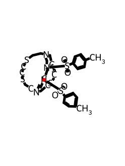 Cc1ccc(S(=O)(=O)N2CCN3CCSCCSCCN(CCSCCSCC3)CCN(S(=O)(=O)c3ccc(C)cc3)CC2)cc1